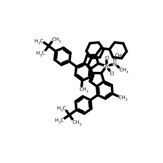 Cc1cc(-c2ccc(C(C)(C)C)cc2)c2c(c1)[CH]([Zr]([Cl])([Cl])([CH]1C(CC3CCCCC3)=Cc3c(-c4ccc(C(C)(C)C)cc4)cc(C)cc31)[SiH](C)C)C(CC1CCCCC1)=C2